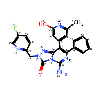 Cc1cc(-c2c(-c3ccccc3)nc(N)n3c(=O)n(Cc4ccc(F)cn4)nc23)cc(O)n1